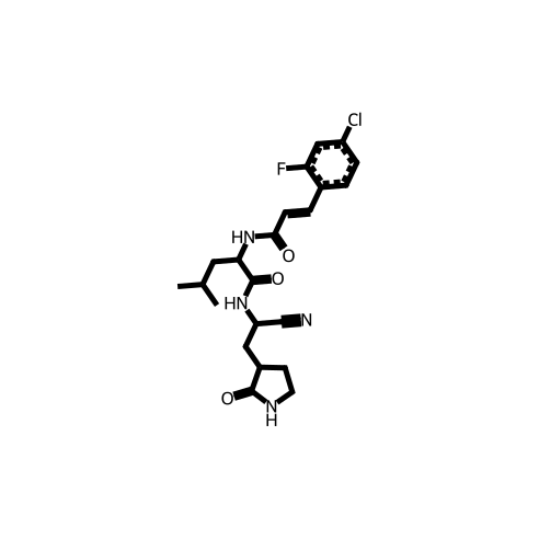 CC(C)CC(NC(=O)/C=C/c1ccc(Cl)cc1F)C(=O)NC(C#N)CC1CCNC1=O